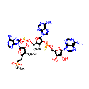 CO[C@H]1[C@@H](O[PH](=S)OC[C@H]2O[C@@H](n3cnc4c(N)ncnc43)[C@H](O)[C@@H]2O)[C@H](n2cnc3c(N)ncnc32)O[C@@H]1CO[P@@](O)(=S)O[C@@H]1[C@H](OC)[C@@H](CCP(=O)(O)OC)O[C@H]1n1cnc2c(N)ncnc21